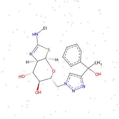 CCNC1=N[C@@H]2[C@@H](O)[C@H](O)[C@@H](Cn3cc(C(C)(O)c4ccccc4)nn3)O[C@@H]2S1